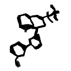 CC(=O)c1cccc(-c2cccc(-c3cc(C(C)(C)S(C)(=O)=O)cc4cccnc34)c2)c1